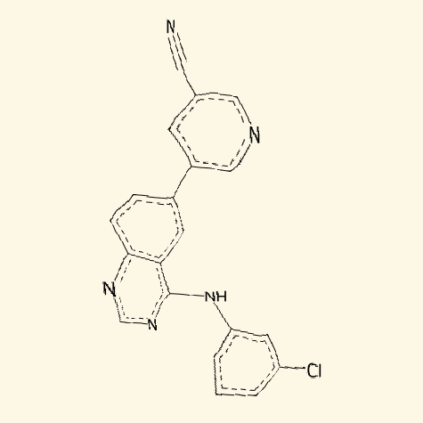 N#Cc1cncc(-c2ccc3ncnc(Nc4cccc(Cl)c4)c3c2)c1